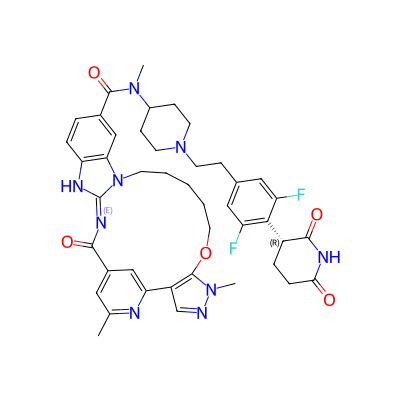 Cc1cc2cc(n1)-c1cnn(C)c1OCCCCCN1/C(=N/C2=O)Nc2ccc(C(=O)N(C)C3CCN(CCc4cc(F)c([C@H]5CCC(=O)NC5=O)c(F)c4)CC3)cc21